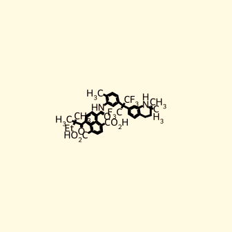 CCC(C)(C)C(=O)c1ccc(C(=O)Nc2cc(C(c3ccc4c(c3)NC(C)(C)CC4)(C(F)(F)F)C(F)(F)F)ccc2C)c2c(C(=O)O)ccc(C(=O)O)c12